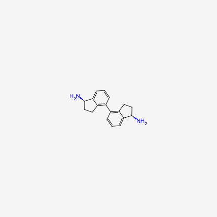 N[C@@H]1CCc2c(-c3cccc4c3CC[C@H]4N)cccc21